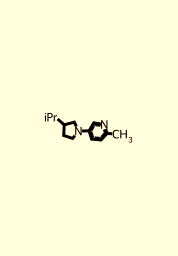 Cc1ccc(N2CCC(C(C)C)C2)cn1